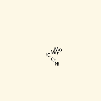 [C].[Cr].[Mn].[Mo].[Ni]